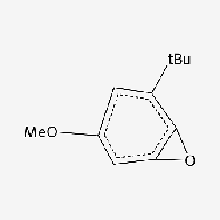 COc1cc2c(c(C(C)(C)C)c1)O2